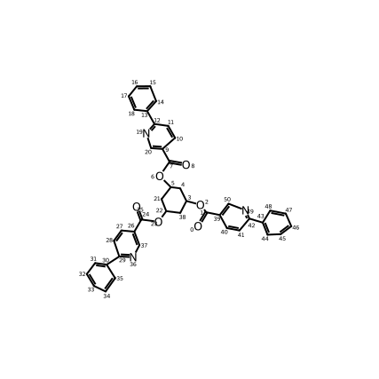 O=C(OC1CC(OC(=O)c2ccc(-c3ccccc3)nc2)CC(OC(=O)c2ccc(-c3ccccc3)nc2)C1)c1ccc(-c2ccccc2)nc1